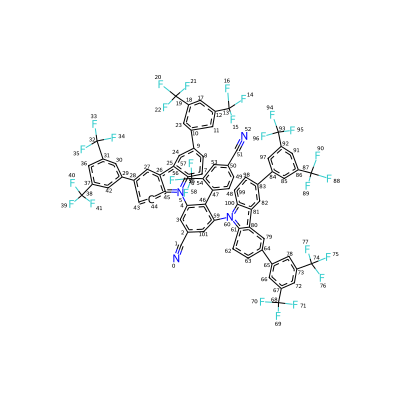 N#Cc1cc(-n2c3ccc(-c4cc(C(F)(F)F)cc(C(F)(F)F)c4)cc3c3cc(-c4cc(C(F)(F)F)cc(C(F)(F)F)c4)ccc32)c(-c2ccc(C#N)cc2C(F)(F)F)c(-n2c3ccc(-c4cc(C(F)(F)F)cc(C(F)(F)F)c4)cc3c3cc(-c4cc(C(F)(F)F)cc(C(F)(F)F)c4)ccc32)c1